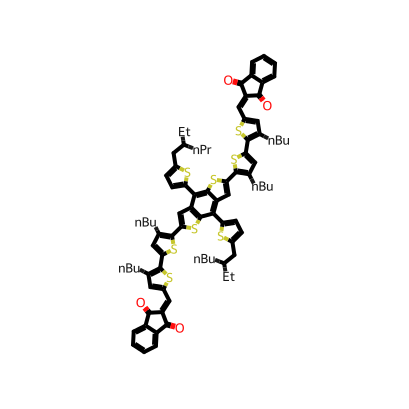 CCCCc1cc(C=C2C(=O)c3ccccc3C2=O)sc1-c1cc(CCCC)c(-c2cc3c(-c4ccc(CC(CC)CCCC)s4)c4sc(-c5sc(-c6sc(C=C7C(=O)c8ccccc8C7=O)cc6CCCC)cc5CCCC)cc4c(-c4ccc(CC(CC)CCC)s4)c3s2)s1